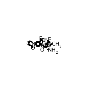 CC(C)CN(CC(F)(F)F)[C@H](CN)C(=O)Nc1ccc(N2CCOCC2=O)cc1C(F)F